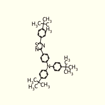 CC(C)(C)c1ccc(-c2nc(-c3ccc(N(c4ccc(C(C)(C)C)cc4)c4ccc(C(C)(C)C)cc4)cc3)ns2)cc1